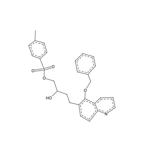 Cc1ccc(S(=O)(=O)OCC(O)CCc2ccc3ncccc3c2OCc2ccccc2)cc1